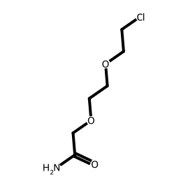 NC(=O)COCCOCCCl